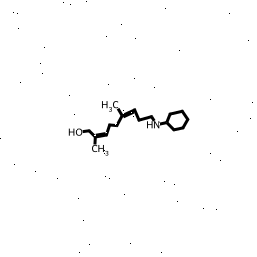 CC(=CCCC(C)=CCCNC1CCCCC1)CO